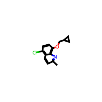 Cc1ccc2c(Cl)ccc(OCC3CC3)c2n1